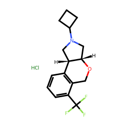 Cl.FC(F)(F)c1cccc2c1CO[C@H]1CN(C3CCC3)C[C@@H]21